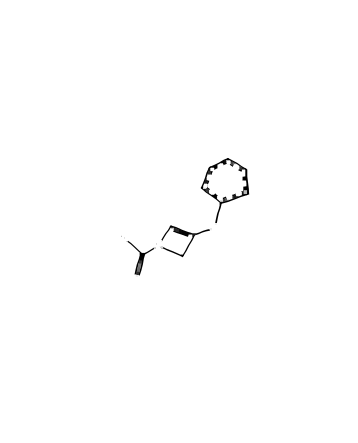 NC(=O)N1C=C(Oc2ccccc2)C1